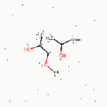 CCCCOCC(C)O.[CH2]CCCCC(C)O